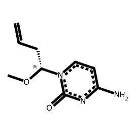 C=CC[C@@H](OC)n1ccc(N)nc1=O